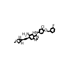 CN1C[C@@H]2C(C#Cc3cc4ncnc(Nc5ccc(OCc6cccc(F)c6)c(Cl)c5)c4cc3N)[C@@H]2C1